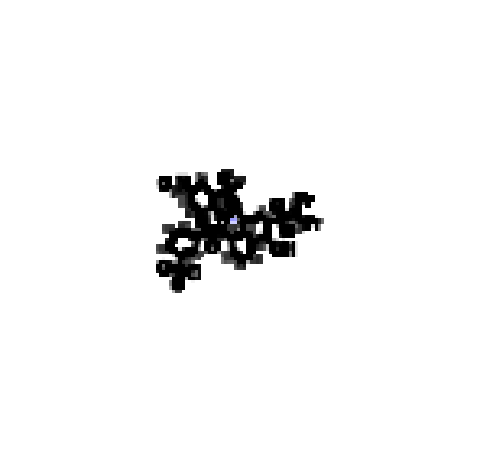 CC(C)N(C(C)C)S(=O)(=O)c1cc(/N=N/c2ccc([N+](=O)[O-])cc2S(C)(=O)=O)c2c(NS(=O)(=O)c3cccc(S(=O)(=O)Cl)c3)cccc2c1O